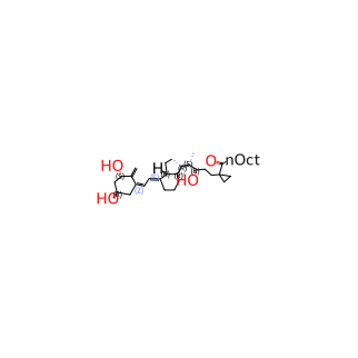 C=C1/C(=C\C=C2/CCC[C@]3(C)[C@@H]([C@H](C)[C@H](O)CCC4(C(=O)CCCCCCCC)CC4)CC[C@@H]23)C[C@@H](O)C[C@@H]1O